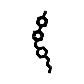 COCCN1CCN(Cc2ccc(-c3ccc(Br)cc3)nn2)CC1